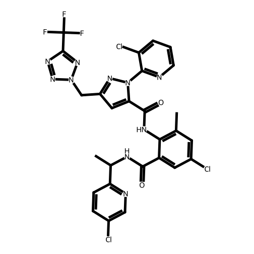 Cc1cc(Cl)cc(C(=O)NC(C)c2ccc(Cl)cn2)c1NC(=O)c1cc(Cn2nnc(C(F)(F)F)n2)nn1-c1ncccc1Cl